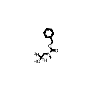 [2H]C([2H])(O)CN(C)C(=O)OCc1ccccc1